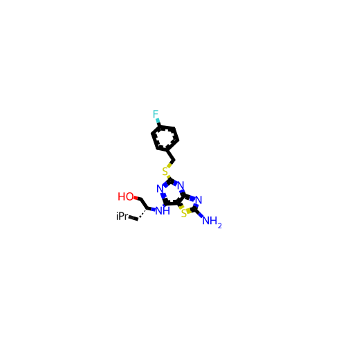 CC(C)C[C@H](CO)Nc1nc(SCc2ccc(F)cc2)nc2nc(N)sc12